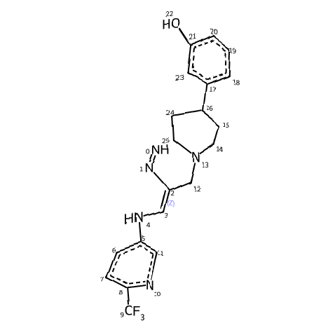 N=N/C(=C\Nc1ccc(C(F)(F)F)nc1)CN1CCC(c2cccc(O)c2)CC1